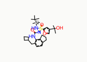 CC(C)(O)c1coc(S(=O)(=NC(=O)Nc2c(CC3CCC3)ccc3c2CCC3)N[Si](C)(C)C(C)(C)C)c1